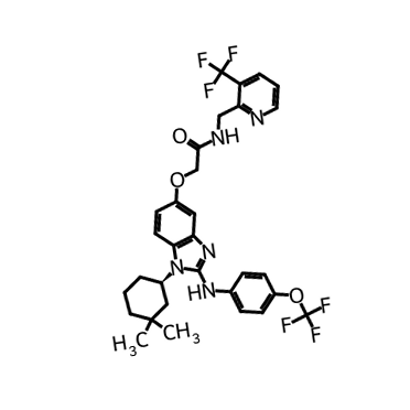 CC1(C)CCC[C@@H](n2c(Nc3ccc(OC(F)(F)F)cc3)nc3cc(OCC(=O)NCc4ncccc4C(F)(F)F)ccc32)C1